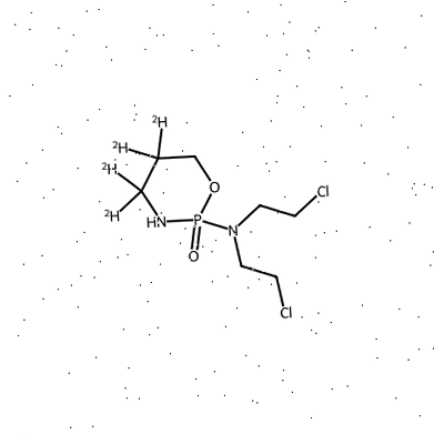 [2H]C1([2H])COP(=O)(N(CCCl)CCCl)NC1([2H])[2H]